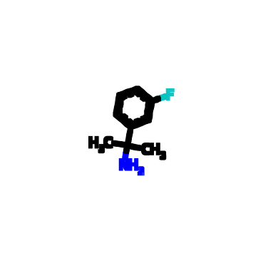 CC(C)(N)c1cccc(F)c1